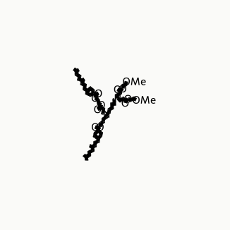 COCCOC(=O)CCN(CCCCCCN(CCCCOC(=O)C1CC=C(CC/C=C(\C)CCC=C(C)C)CC1)CCC(=O)OCCOC(=O)C1CC=C(CC/C=C(\C)CCC=C(C)C)CC1)CCC(=O)OCCOC